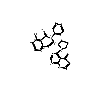 O=c1cc[nH]c2ncnc(N3CCC[C@H]3c3cc4cccc(Cl)c4c(=O)n3-c3ccccc3)c12